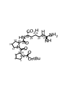 CC(C)(C)OC(=O)N1CCC[C@H]1C(=O)N1CCC[C@H]1C(=O)N[C@@H](CCCNC(=N)N)C(=O)O